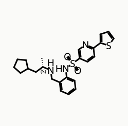 C[C@@H](CC1CCCC1)NCc1ccccc1NS(=O)(=O)c1ccc(-c2cccs2)nc1